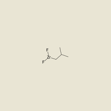 CC(C)[CH2][Zr]([F])[F]